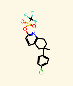 CC1(c2ccc(Cl)cc2)CCc2nc(OS(=O)(=O)C(F)(F)F)ccc2C1